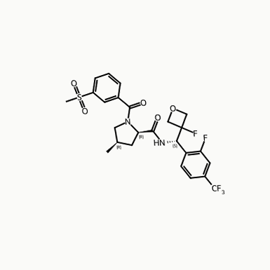 C[C@@H]1C[C@H](C(=O)N[C@@H](c2ccc(C(F)(F)F)cc2F)C2(F)COC2)N(C(=O)c2cccc(S(C)(=O)=O)c2)C1